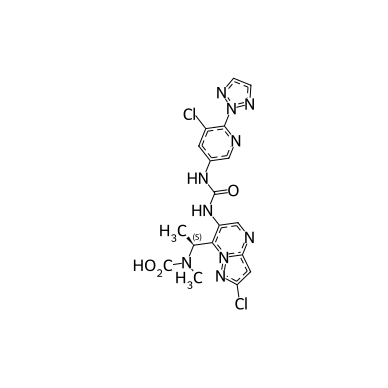 C[C@@H](c1c(NC(=O)Nc2cnc(-n3nccn3)c(Cl)c2)cnc2cc(Cl)nn12)N(C)C(=O)O